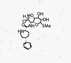 CSC1O[C@H]([C@H](NC(=O)[C@@H]2CC[C@H](c3ccccc3)CCN2)[C@H](C)Cl)C(O)C(O)[C@H]1O